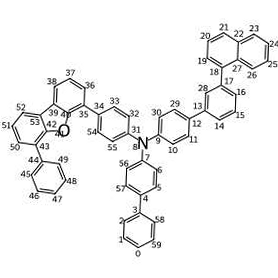 c1ccc(-c2ccc(N(c3ccc(-c4cccc(-c5cccc6ccccc56)c4)cc3)c3ccc(-c4cccc5c4oc4c(-c6ccccc6)cccc45)cc3)cc2)cc1